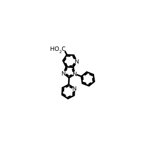 O=C(O)c1cnc2c(c1)nc(-c1ccccn1)n2-c1ccccc1